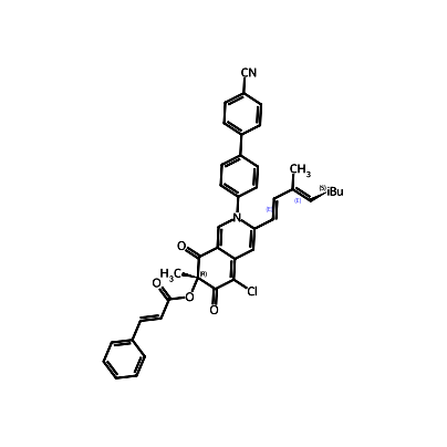 CC[C@H](C)/C=C(C)/C=C/C1=CC2=C(Cl)C(=O)[C@](C)(OC(=O)C=Cc3ccccc3)C(=O)C2=CN1c1ccc(-c2ccc(C#N)cc2)cc1